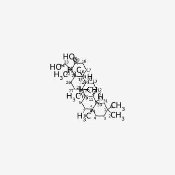 CC1(C)CC[C@]2(C)CC[C@]3(C)C(=CC[C@@H]4[C@@]5(C)CC[C@H](O)C(C)(CO)C5CC[C@]43C)[C@H]2C1